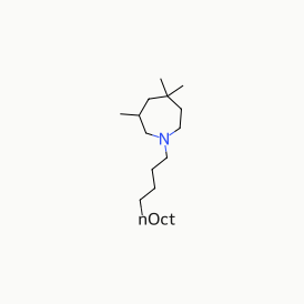 CCCCCCCCCCCCN1CCC(C)(C)CC(C)C1